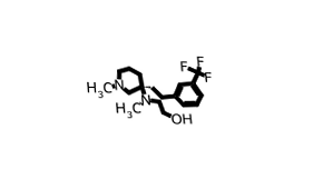 CN1CCC[C@@](CCc2cccc(C(F)(F)F)c2)(N(C)CCO)C1